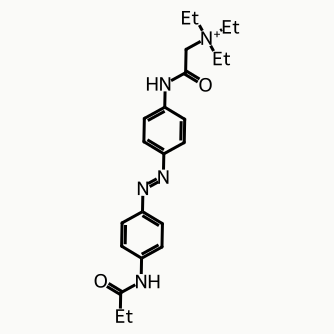 CCC(=O)Nc1ccc(/N=N/c2ccc(NC(=O)C[N+](CC)(CC)CC)cc2)cc1